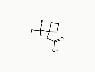 O=C(O)CC1(C(F)(F)F)CCC1